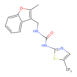 Cc1oc2ccccc2c1CNC(=O)Nc1ncc(C(F)(F)F)s1